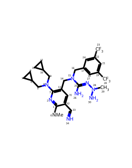 CNc1nc(N(CC2CC2)CC2CC2)c(CN(Cc2cc(C(F)(F)F)cc(C(F)(F)F)c2)/C(N)=N/N(C)N)cc1C=N